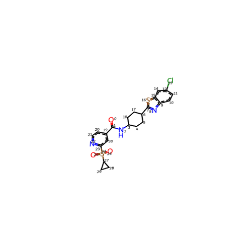 O=C(NC1CCC(c2nc3ccc(Cl)cc3s2)CC1)c1ccnc(S(=O)(=O)C2CC2)c1